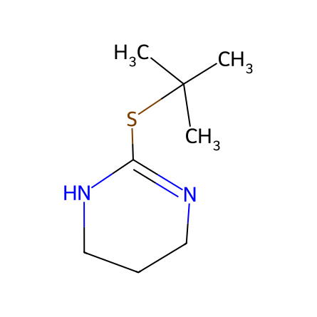 CC(C)(C)SC1=NCCCN1